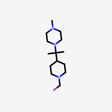 CN1CCN(C(C)(C)C2CCN(CI)CC2)CC1